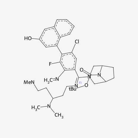 C=Nc1c(/C(=N\CCC(CCNC)N(C)C)N2CC3CCC(C2)N3C(=O)OC(C)(C)C)cc(Cl)c(-c2cc(O)cc3ccccc23)c1F